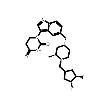 C[C@H]1C[C@H](Cc2ccn3ncc(N4CCC(=O)NC4=O)c3c2)CCN1CC1C[C@@H](F)[C@@H](F)C1